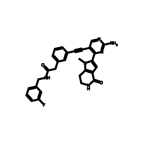 Cn1c(-c2nc(N)ncc2C#Cc2cccc(CC(=O)NCc3cccc(F)c3)c2)cc2c1CCNC2=O